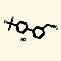 Cl.NCc1cccc(-c2ccc(C(F)(F)F)cc2)c1